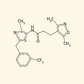 Cc1nc(Cc2cccc(C(F)(F)F)c2)sc1NC(=O)CCc1c(C)noc1C